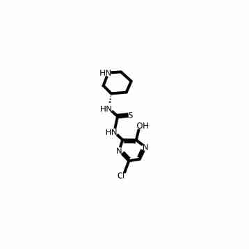 Oc1ncc(Cl)nc1NC(=S)N[C@H]1CCCNC1